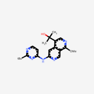 COc1ncc(C(C)(C)O)c2cc(Nc3ccnc(C(C)(C)C)n3)ncc12